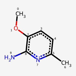 COc1ccc(C)nc1N